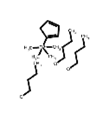 CCCC[O-].CCCC[O-].CCCC[O-].[CH3][Ti+3]([CH3])([CH3])([CH3])[C]1=CC=CC1